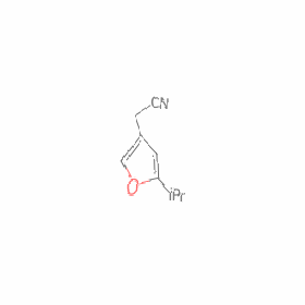 CC(C)c1cc(CC#N)co1